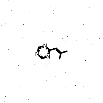 CC(C)=Cc1ncncn1